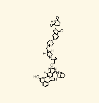 C#Cc1cccc2cc(O)cc(-c3ncc4c(N5CC6CCC(C6)C5)nc(OCC5(CN6C[C@@H]7C(CN8CCN(c9ccc%10c(c9)CN([C@H]9CCC(=O)NC9=O)C%10=O)CC8)[C@@H]7C6)CC5)nc4c3F)c12